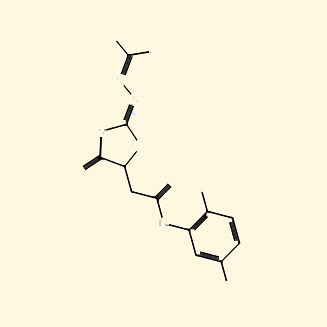 CC(C)=N/N=C1\NC(=O)C(CC(=O)Nc2cc(C(=O)O)ccc2O)S1